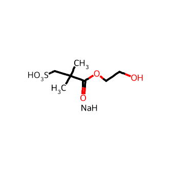 CC(C)(CS(=O)(=O)O)C(=O)OCCO.[NaH]